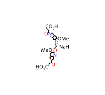 COc1cc2c(cc1OCCCOc1nc3cc(C(=O)CCC(=O)O)sc3cc1OC)CN(C(=O)CCC(=O)O)C2.[NaH]